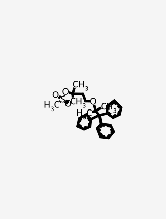 CC(C)(CCOC(C)(C)C(c1ccccc1)(c1ccccc1)c1ccccc1)OS(C)(=O)=O